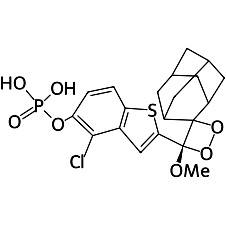 CO[C@]1(c2cc3c(Cl)c(OP(=O)(O)O)ccc3s2)OOC12C1CC3CC(C1)CC2C3